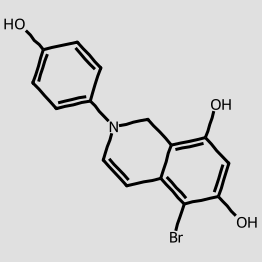 Oc1ccc(N2C=Cc3c(Br)c(O)cc(O)c3C2)cc1